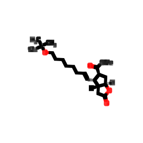 COC(=O)[C@H]1C[C@H]2OC(=O)C[C@@H]2[C@@H]1C=CCCCCCCO[Si](C)(C)C(C)(C)C